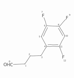 O=CCCCc1cc(F)c(F)cc1F